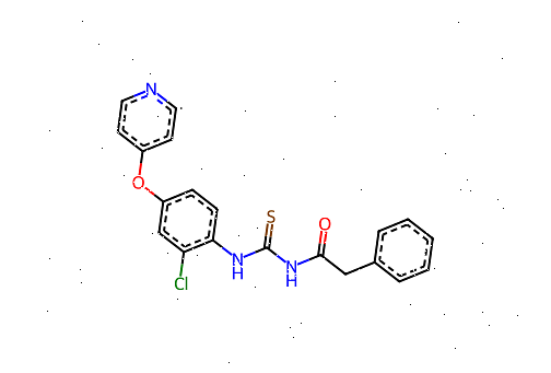 O=C(Cc1ccccc1)NC(=S)Nc1ccc(Oc2c[c]ncc2)cc1Cl